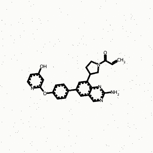 C=CC(=O)N1CCC(c2cc(-c3ccc(Oc4cc(O)ccn4)cc3)cc3cnc(N)nc23)C1